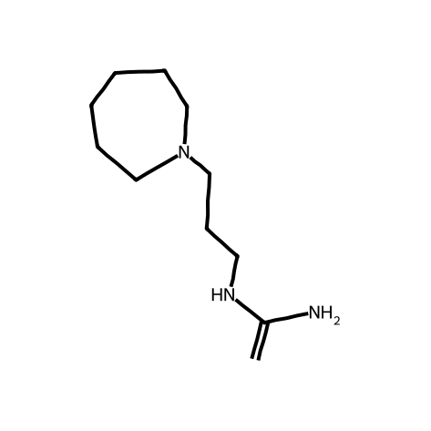 C=C(N)NCCCN1CCCCCC1